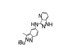 CCC(C)n1nc2ccc(Nc3n[nH]c4cccnc34)cc2c1C